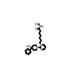 O=C(CCCCCCN1C=CC=NC1N1CCC(O)(c2ccccc2)CC1)NO